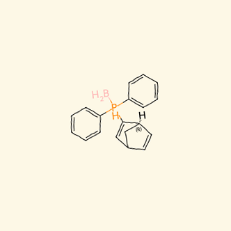 B[PH](C1=CC2C=C[C@H]1C2)(c1ccccc1)c1ccccc1